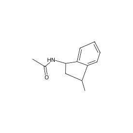 CC(=O)NC1CC(C)c2ccccc21